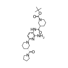 CC(C)(C)OC(=O)N1CCCC(C(=O)Nc2ccc(N3CCC[C@@H](C(=O)N4CCCC4)C3)nc2N)C1